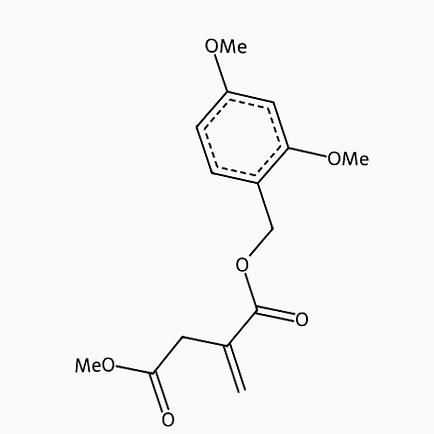 C=C(CC(=O)OC)C(=O)OCc1ccc(OC)cc1OC